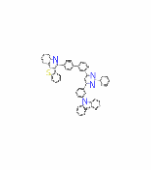 c1ccc(-c2nc(-c3cccc(-c4ccc(-c5nc6ccccc6c6sc7ccccc7c56)cc4)c3)cc(-c3cccc(-n4c5ccccc5c5ccccc54)c3)n2)cc1